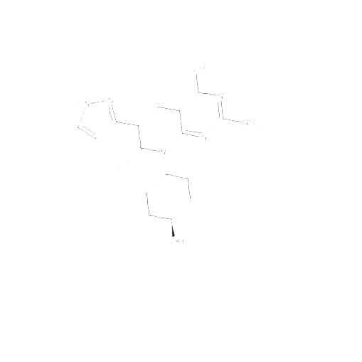 Cc1nc(N)nc2c1cc(-c1cc[nH]n1)c(=O)n2[C@H]1CC[C@H](O)CC1